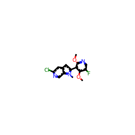 COc1ncc(F)c(OC)c1-c1cc2cc(Cl)ncc2n1C